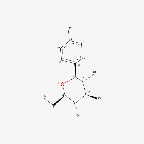 CC[C@H]1O[C@@H](c2ccc(C)cc2)[C@H](C)[C@@H](C)[C@@H]1C